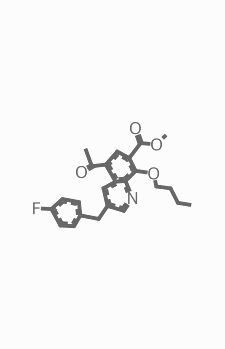 CCCCOc1c(C(=O)OC)cc(C(C)=O)c2cc(Cc3ccc(F)cc3)cnc12